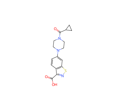 O=C(O)c1nsc2cc(N3CCN(C(=O)C4CC4)CC3)ccc12